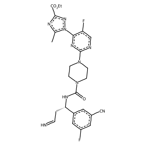 CCOC(=O)c1nc(C)n(-c2nc(N3CCN(C(=O)N[C@@H](CC=N)c4cc(F)cc(C#N)c4)CC3)ncc2F)n1